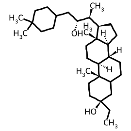 CC[C@]1(O)CC[C@@]2(C)C(CC[C@H]3[C@@H]4CC[C@H]([C@H](C)[C@H](O)CC5CCC(C)(C)CC5)[C@@]4(C)CC[C@@H]32)C1